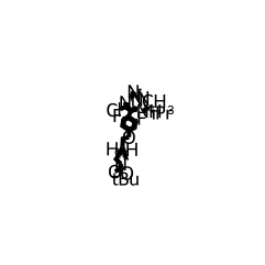 CC(C)[C@@H](C)Nc1c(-c2c(F)cc(OCC3[C@H]4CN(C(=O)OC(C)(C)C)C[C@@H]34)cc2F)c(Cl)nc2ncnn12